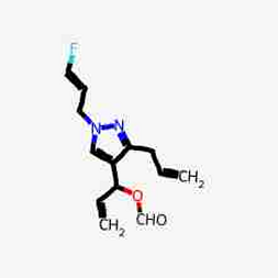 C=CCc1nn(CC=CF)cc1C(C=C)OC=O